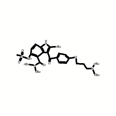 CCCCc1[nH]c2ccc(NS(C)(=O)=O)c(C(CC)N(CCCC)CCCC)c2c1C(=O)c1ccc(OCCCN(CCCC)CCCC)cc1